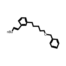 CCCCC=Cc1cccc(CCCCCOCc2ccccc2)c1